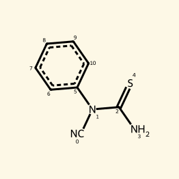 N#CN(C(N)=S)c1ccccc1